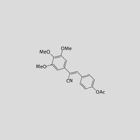 COc1cc(C(C#N)=Cc2ccc(OC(C)=O)cc2)cc(OC)c1OC